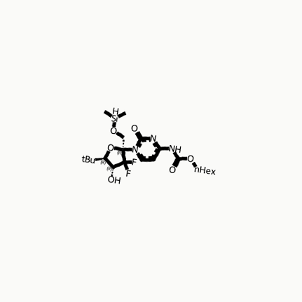 CCCCCCOC(=O)Nc1ccn([C@]2(CO[SiH](C)C)O[C@H](C(C)(C)C)[C@@H](O)C2(F)F)c(=O)n1